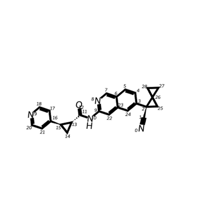 N#C[C@]1(c2ccc3cnc(NC(=O)[C@@H]4C[C@H]4c4ccncc4)cc3c2)CC12CC2